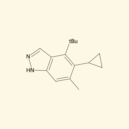 Cc1cc2[nH]ncc2c(C(C)(C)C)c1C1CC1